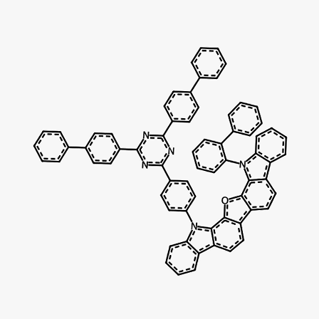 c1ccc(-c2ccc(-c3nc(-c4ccc(-c5ccccc5)cc4)nc(-c4ccc(-n5c6ccccc6c6ccc7c8ccc9c%10ccccc%10n(-c%10ccccc%10-c%10ccccc%10)c9c8oc7c65)cc4)n3)cc2)cc1